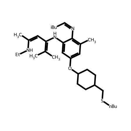 CCCCSCC1CCC(Oc2cc(C)c(/N=C\C(C)CC)c(NC(/C=C(/C)NCC)=C(C)C)c2)CC1